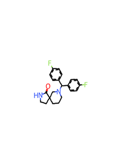 O=C1NCCC12CCCN(C(c1ccc(F)cc1)c1ccc(F)cc1)C2